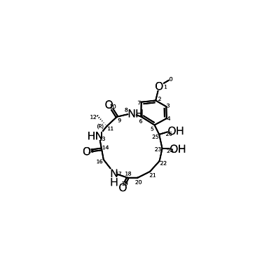 COc1ccc2c(c1)NC(=O)[C@@H](C)NC(=O)CNC(=O)CCCC(O)C2O